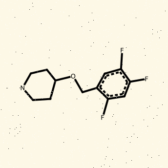 Fc1cc(F)c(COC2CC[N]CC2)cc1F